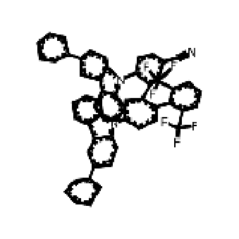 N#Cc1ccc(-n2c3ccccc3c3cc(-c4ccccc4)ccc32)c(-c2cc(-n3c4ccccc4c4cc(-c5ccccc5)ccc43)ccc2-c2c(C(F)(F)F)cccc2C(F)(F)F)c1